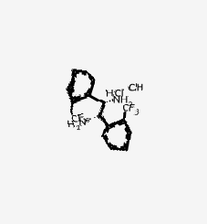 Cl.Cl.N[C@@H](c1ccccc1C(F)(F)F)[C@@H](N)c1ccccc1C(F)(F)F